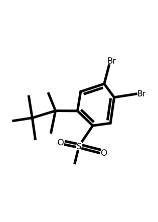 CC(C)(C)C(C)(C)c1cc(Br)c(Br)cc1S(C)(=O)=O